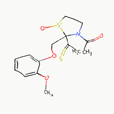 COc1ccccc1OCC1(C(C)=S)N(C(C)=O)CC[S+]1[O-]